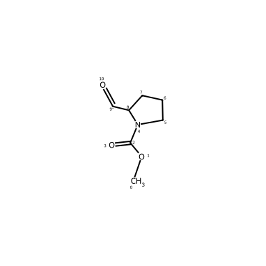 COC(=O)N1CCCC1[C]=O